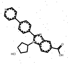 Cl.O=C(O)c1ccc2c(c1)nc(-c1ccc(-c3ccncc3)cc1)n2C1CCCC1